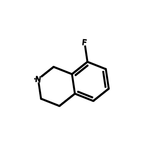 Fc1cccc2c1C[N]CC2